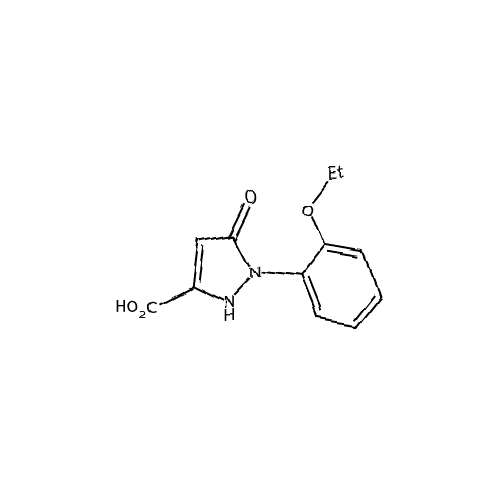 CCOc1ccccc1-n1[nH]c(C(=O)O)cc1=O